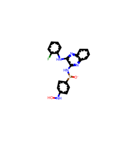 [O-][S+](Nc1nc2ccccc2nc1Nc1ccccc1F)c1ccc(NO)cc1